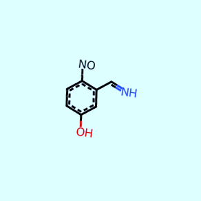 N=Cc1cc(O)ccc1N=O